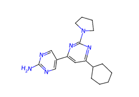 Nc1ncc(-c2cc(C3CCCCC3)nc(N3CCCC3)n2)cn1